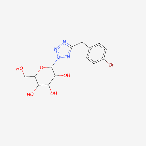 OCC1OC(n2nnc(Cc3ccc(Br)cc3)n2)C(O)C(O)C1O